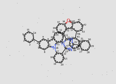 c1ccc(-c2ccc3c(c2)c2ccccc2n3-c2ccccc2-c2nc(-c3ccccc3)nc(-c3cccc4oc5cccc(-c6ccccc6)c5c34)n2)cc1